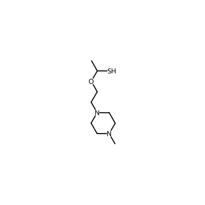 CC(S)OCCN1CCN(C)CC1